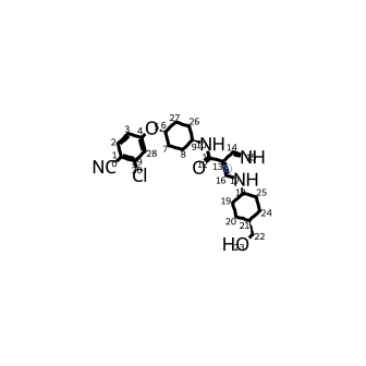 N#Cc1ccc(O[C@H]2CC[C@H](NC(=O)/C(C=N)=C/N[C@H]3CC[C@H](CO)CC3)CC2)cc1Cl